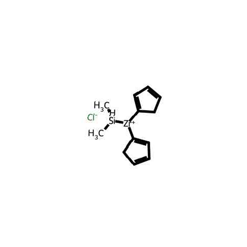 C[SiH](C)[Zr+]([C]1=CC=CC1)[C]1=CC=CC1.[Cl-]